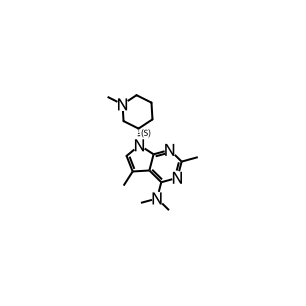 Cc1nc(N(C)C)c2c(C)cn([C@H]3CCCN(C)C3)c2n1